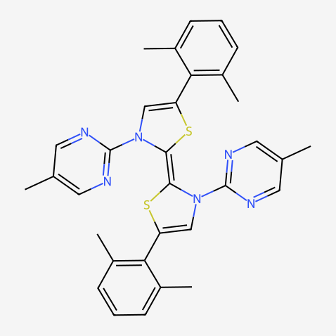 Cc1cnc(N2C=C(c3c(C)cccc3C)S/C2=C2/SC(c3c(C)cccc3C)=CN2c2ncc(C)cn2)nc1